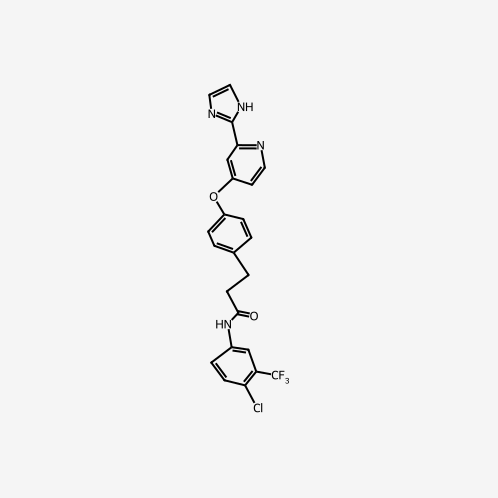 O=C(CCc1ccc(Oc2ccnc(-c3ncc[nH]3)c2)cc1)Nc1ccc(Cl)c(C(F)(F)F)c1